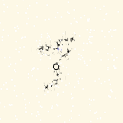 C[C@H]1[C@H](NC(=O)/C(=N\O[C@@H](COc2ccc3nc(NC4CN(C(=O)OC(C)(C)C)C4)sc3c2)C(=O)OC(C)(C)C)c2csc(NC(=O)OC(C)(C)C)n2)C(=O)N1S(=O)(=O)O